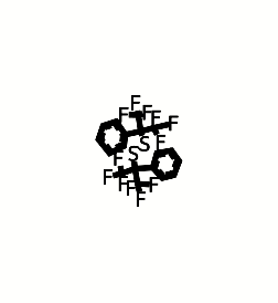 FC(F)(F)C(SSC(c1ccccc1)(C(F)(F)F)C(F)(F)F)(c1ccccc1)C(F)(F)F